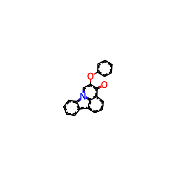 O=c1c(Oc2ccccc2)cn2c3ccccc3c3cccc1c32